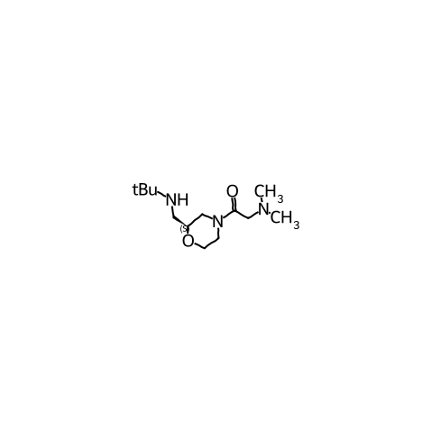 CN(C)CC(=O)N1CCO[C@@H](CNC(C)(C)C)C1